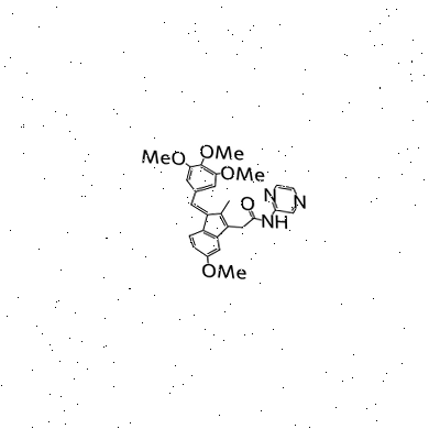 COc1ccc2c(c1)C(CC(=O)Nc1cnccn1)=C(C)C2=Cc1cc(OC)c(OC)c(OC)c1